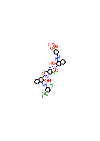 O=C(Nc1cc(Cl)c(NC(=O)c2cc3ccccc3c(/N=N/c3cc(C(F)(F)F)ccc3Cl)c2O)cc1Cl)c1cc2ccccc2c(/N=N/c2ccc(S(=O)(=O)O)cc2)c1O